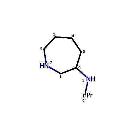 CCCNC1CCCCNC1